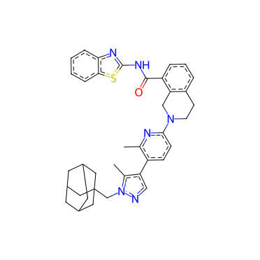 Cc1nc(N2CCc3cccc(C(=O)Nc4nc5ccccc5s4)c3C2)ccc1-c1cnn(CC23CC4CC(CC(C4)C2)C3)c1C